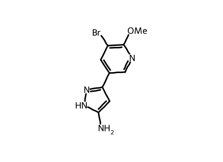 COc1ncc(-c2cc(N)[nH]n2)cc1Br